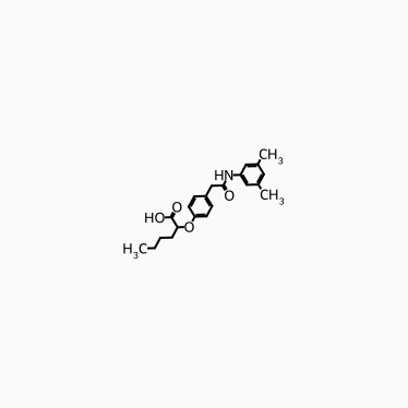 CCCCC(Oc1ccc(CC(=O)Nc2cc(C)cc(C)c2)cc1)C(=O)O